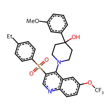 CCc1ccc(S(=O)(=O)c2cnc3ccc(OC(F)(F)F)cc3c2N2CCC(O)(c3cccc(OC)c3)CC2)cc1